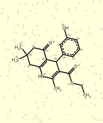 CCOC(=O)C1=C(C)NC2=C(C(=O)CC(C)(C)C2)C1c1cccc(O)c1